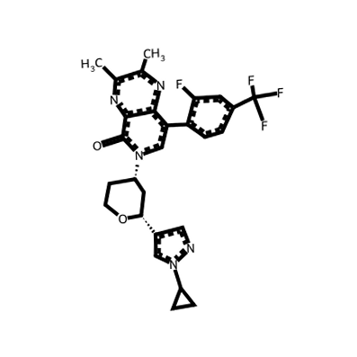 Cc1nc2c(-c3ccc(C(F)(F)F)cc3F)cn([C@H]3CCO[C@@H](c4cnn(C5CC5)c4)C3)c(=O)c2nc1C